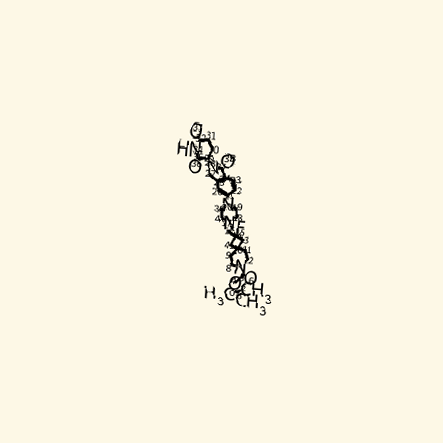 CC(C)(C)OC(=O)N1CCC2(CC1)CC(F)(CN1CCN(c3ccc4c(c3)CN([C@@H]3CCC(=O)NC3=O)C4=O)CC1)C2